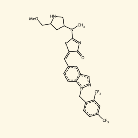 COCC1CC(N(C)C2=NC(=O)C(=Cc3ccc4c(cnn4Cc4ccc(C(F)(F)F)cc4C(F)(F)F)c3)S2)CN1